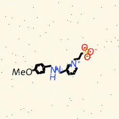 COc1ccc(CN/N=C/c2ccc[n+](CCCS(=O)(=O)[O-])c2)cc1